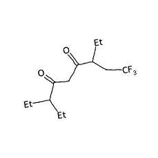 CCC(CC)C(=O)CC(=O)C(CC)CC(F)(F)F